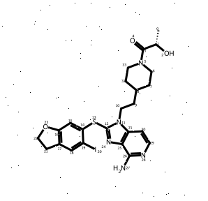 C[C@H](O)C(=O)N1CCC(CCn2c(Sc3cc4c(cc3I)CCO4)nc3c(N)nccc32)CC1